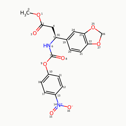 COC(=O)C[C@H](NC(=O)Oc1ccc([N+](=O)[O-])cc1)c1ccc2c(c1)OCO2